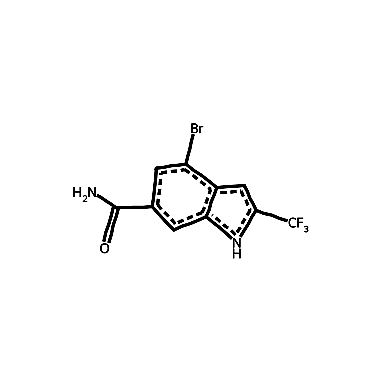 NC(=O)c1cc(Br)c2cc(C(F)(F)F)[nH]c2c1